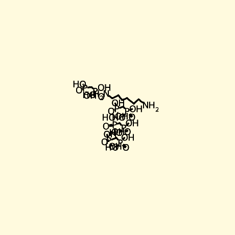 NCCCCCCN.O=P(O)(O)CP(=O)(O)O.O=P(O)(O)CP(=O)(O)O.O=P(O)(O)CP(=O)(O)O.O=P(O)(O)CP(=O)(O)O